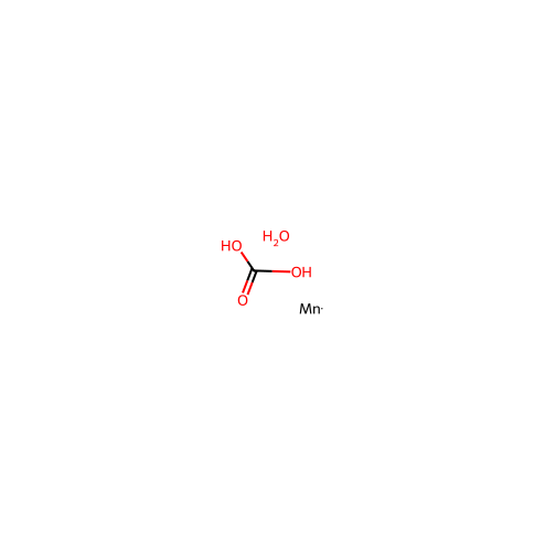 O.O=C(O)O.[Mn]